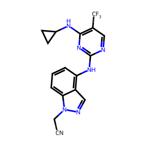 N#CCn1ncc2c(Nc3ncc(C(F)(F)F)c(NC4CC4)n3)cccc21